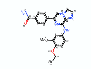 COc1cc(Nc2nc(-c3ccc(C(N)=O)cc3)cn3ccnc23)ccc1OCC#N